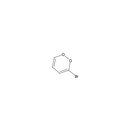 BrC1=CC=COO1